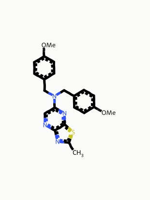 COc1ccc(CN(Cc2ccc(OC)cc2)c2cnc3nc(C)sc3n2)cc1